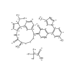 C[C@@H]1CCC[C@H](n2cnc(-c3cc(Cl)ccc3-n3cc(C(F)(F)F)nn3)cc2=O)c2cncc(c2)-c2c(cnn2C(F)F)NC1=O.O=C(O)C(F)(F)F